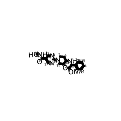 COC(=O)[C@@H](NC1CCN(c2ncc(C(=O)NO)cn2)CC1)c1ccccc1